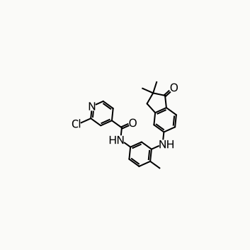 Cc1ccc(NC(=O)c2ccnc(Cl)c2)cc1Nc1ccc2c(c1)CC(C)(C)C2=O